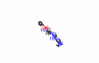 CC(C)n1cnc2cnc(Nc3ccnc(N4C[C@@H]5[C@H](C4)[C@@H]5NC(=O)OCc4ccccc4)n3)cc21